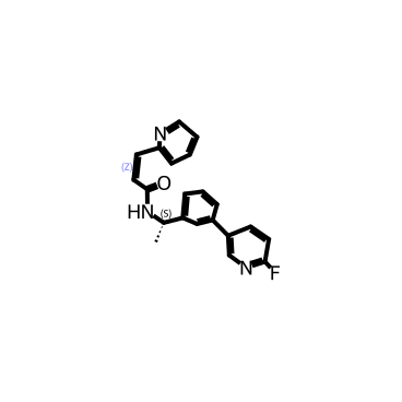 C[C@H](NC(=O)/C=C\c1ccccn1)c1cccc(-c2ccc(F)nc2)c1